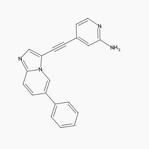 Nc1cc(C#Cc2cnc3ccc(-c4cc[c]cc4)cn23)ccn1